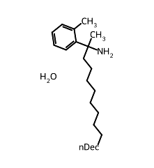 CCCCCCCCCCCCCCCCCCC(C)(N)c1ccccc1C.O